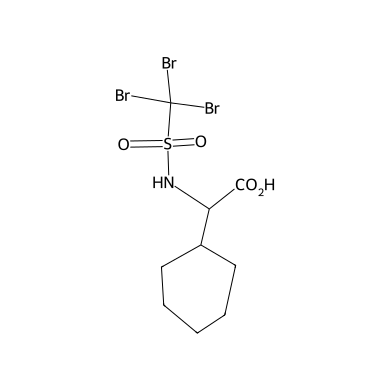 O=C(O)C(NS(=O)(=O)C(Br)(Br)Br)C1CCCCC1